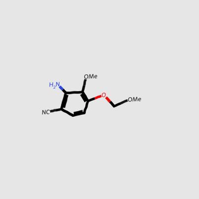 COCOc1ccc(C#N)c(N)c1OC